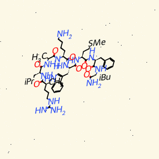 CC[C@H](C)[C@H](NC(=O)[C@H](Cc1ccccc1)NC(=O)[C@H](CCSC)NC(=O)[C@H](Cc1c[nH]c2ccccc12)NC(=O)[C@H](CCCCN)NC(=O)[C@H](C)NC(=O)[C@H](CC(C)C)NC(=O)[C@@H](C)CCCNC(=N)N)C(N)=O